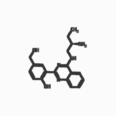 CC[C@@H](N)CNc1nc(-c2cc(CO)ccc2O)nc2ccccc12